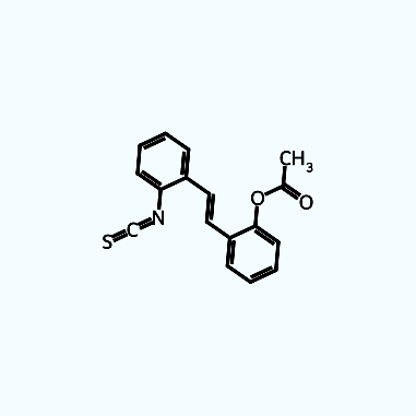 CC(=O)Oc1ccccc1C=Cc1ccccc1N=C=S